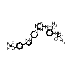 CC(=O)Nc1cccc(Nc2ncnc(N3CCC(n4ccc(-c5ccc(OC(F)(F)F)cc5)n4)CC3)n2)c1C